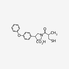 CC(CS)C(=O)N1CC(c2ccc(Oc3ccccc3)cc2)C[C@H]1C(=O)O